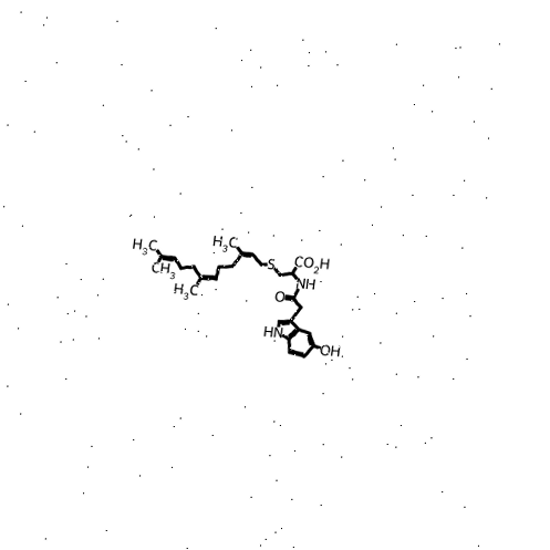 CC(C)=CCCC(C)=CCCC(C)=CCSCC(NC(=O)Cc1c[nH]c2ccc(O)cc12)C(=O)O